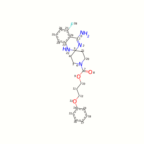 NC1=NC2(CCN(C(=O)OCCCOc3ccccc3)CC2)Nc2cccc(F)c21